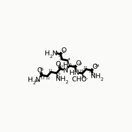 NC(=O)CC[C@H](NC(=O)[C@@H](N)CCC(N)=O)C(=O)N[C@H]([C]=O)CC(N)=O